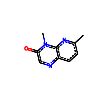 Cc1ccc2ncc(=O)n(C)c2n1